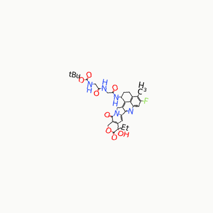 CC[C@@]1(O)C(=O)OCc2c1cc1n(c2=O)Cc2c-1nc1cc(F)c(C)c3c1c2[C@@H](NC(=O)CNC(=O)CNC(=O)OC(C)(C)C)CC3